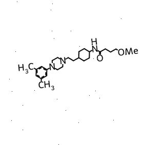 COCCCC(=O)NC1CCC(CCN2CCN(c3cc(C)cc(C)c3)CC2)CC1